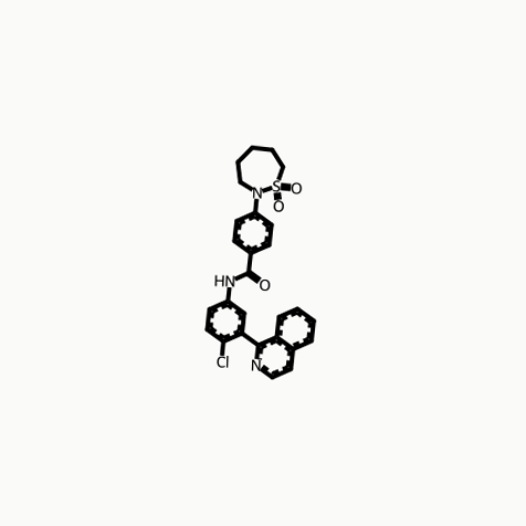 O=C(Nc1ccc(Cl)c(-c2nccc3ccccc23)c1)c1ccc(N2CCCCCS2(=O)=O)cc1